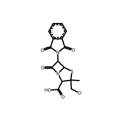 CC1(CCl)SC2C(N3C(=O)c4ccccc4C3=O)C(=O)N2C1C(=O)O